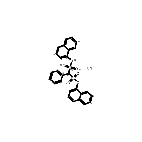 O=S(=O)(Oc1cccc2ccccc12)C(c1ccccc1)S(=O)(=O)Oc1cccc2ccccc12.[Hg]